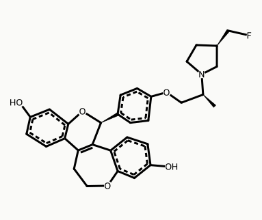 C[C@@H](COc1ccc([C@@H]2Oc3cc(O)ccc3C3=C2c2ccc(O)cc2OCC3)cc1)N1CC[C@@H](CF)C1